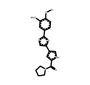 CCOc1ccc(-c2nc(-c3c[nH]c(C(=O)N4CCCC4)c3)cs2)cc1OC